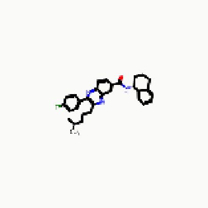 C[C@@H](CCCc1nc2cc(C(=O)N[C@H]3CCCc4ccccc43)ccc2nc1-c1ccc(F)cc1)C(=O)O